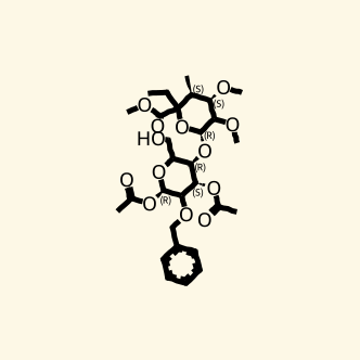 CCC1(C(=O)OC)O[C@@H](O[C@@H]2C(CO)O[C@H](OC(C)=O)C(OCc3ccccc3)[C@H]2OC(C)=O)C(OC)[C@@H](OC)[C@@H]1C